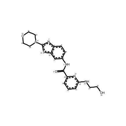 O=C(Nc1ccc2nc(N3CCOCC3)sc2c1)c1cccc(NCCO)n1